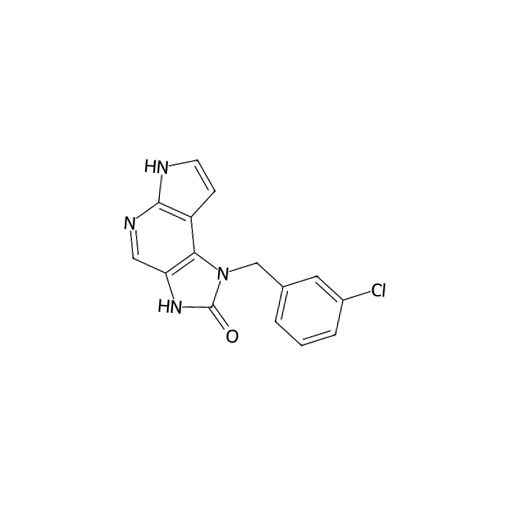 O=c1[nH]c2cnc3[nH]ccc3c2n1Cc1cccc(Cl)c1